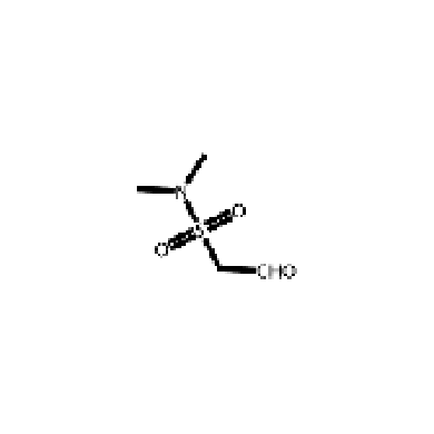 CN(C)S(=O)(=O)CC=O